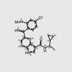 CNc1cc(Cl)ccc1C(=N)c1cnc2[nH]cc(C(=O)NC(C)C3CC3)c2n1